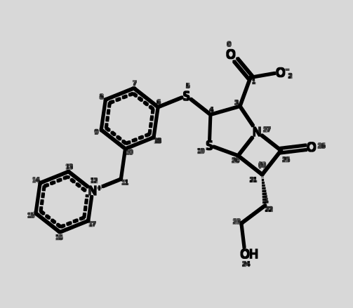 O=C([O-])C1C(Sc2cccc(C[n+]3ccccc3)c2)SC2[C@@H](CCO)C(=O)N12